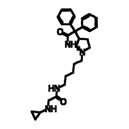 NC(=O)C(c1ccccc1)(c1ccccc1)C1CCN(CCCCCNC(=O)CNC2CC2)C1